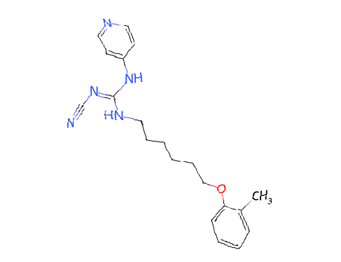 Cc1ccccc1OCCCCCCN/C(=N\C#N)Nc1ccncc1